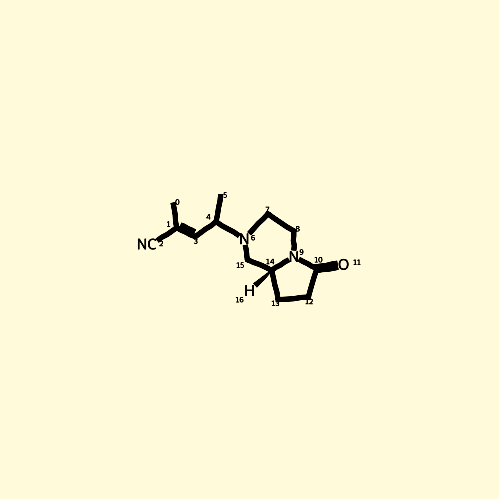 C/C(C#N)=C\C(C)N1CCN2C(=O)CC[C@@H]2C1